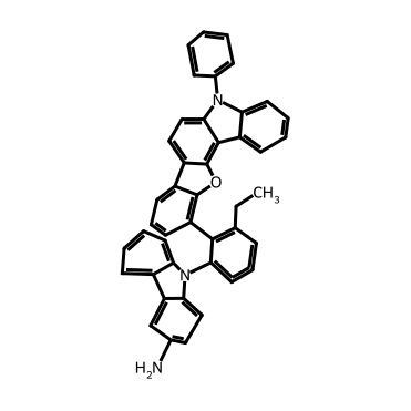 CCC1=C(c2cccc3c2oc2c3ccc3c2c2ccccc2n3-c2ccccc2)C(n2c3ccccc3c3cc(N)ccc32)=C=C=C1